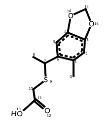 Cc1cc2c(cc1C(C)SCC(=O)O)OCO2